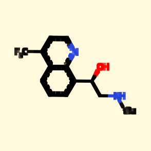 CC(C)(C)NC[C@H](O)c1cccc2c(C(F)(F)F)ccnc12